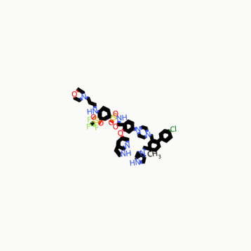 C[C@@]1(CN2CC3CC2CN3)CCC(c2ccc(Cl)cc2)=C(CN2CCN(c3ccc(C(=O)NS(=O)(=O)c4ccc(NCCCN5CCOCC5)c(S(=O)(=O)C(F)(F)F)c4)c(Oc4cnc5[nH]ccc5c4)c3)CC2)C1